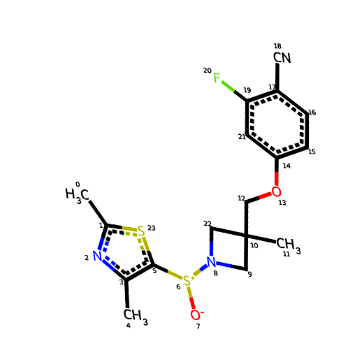 Cc1nc(C)c([S+]([O-])N2CC(C)(COc3ccc(C#N)c(F)c3)C2)s1